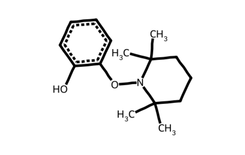 CC1(C)CCCC(C)(C)N1Oc1ccccc1O